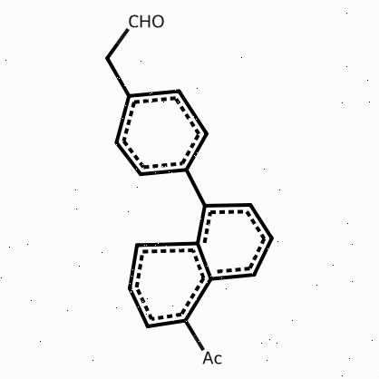 CC(=O)c1cccc2c(-c3ccc(CC=O)cc3)cccc12